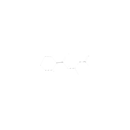 C=C(F)CC(C)NC(=O)C1CCCCC1